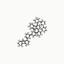 c1ccc(-c2c(-c3ccccc3)c(-c3ccccc3)c3c(c2-c2ccccc2)c2ccccc2n3-c2cccc(-c3cccc(-c4cccc5c4sc4ccccc45)c3)c2)cc1